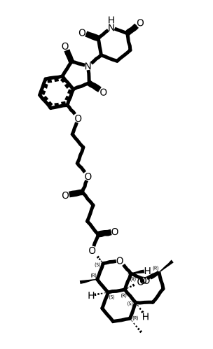 C[C@H]1[C@H](OC(=O)CCC(=O)OCCCOc2cccc3c2C(=O)N(C2CCC(=O)NC2=O)C3=O)O[C@@H]2O[C@@]3(C)CC[C@H]4[C@H](C)CC[C@@H]1[C@@]24OO3